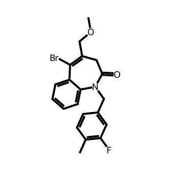 COCC1=C(Br)c2ccccc2N(Cc2ccc(C)c(F)c2)C(=O)C1